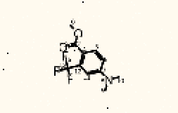 COC(=O)c1ccc(N(C)C)cc1C(F)(F)F